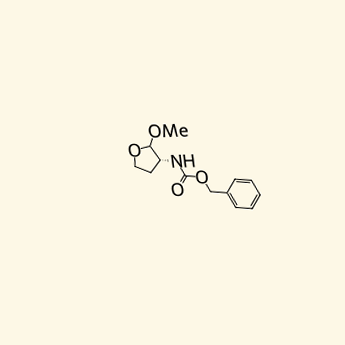 COC1OCC[C@H]1NC(=O)OCc1ccccc1